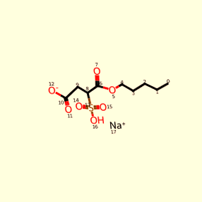 CCCCCOC(=O)C(CC(=O)[O-])S(=O)(=O)O.[Na+]